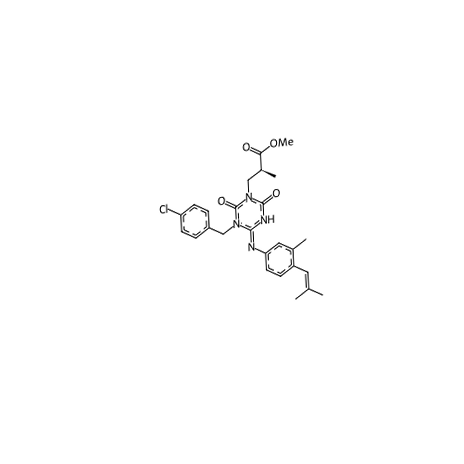 COC(=O)[C@@H](C)Cn1c(=O)[nH]/c(=N\c2ccc(C=C(C)C)c(C)c2)n(Cc2ccc(Cl)cc2)c1=O